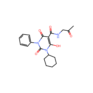 CC(=O)CNC(=O)c1c(O)n(C2CCCCC2)c(=O)n(-c2ccccc2)c1=O